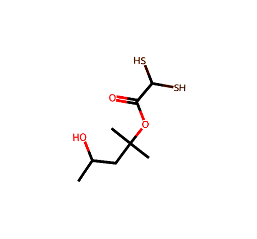 CC(O)CC(C)(C)OC(=O)C(S)S